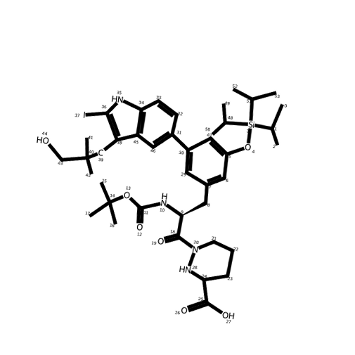 CC(C)[Si](Oc1cc(C[C@H](NC(=O)OC(C)(C)C)C(=O)N2CCCC(C(=O)O)N2)cc(-c2ccc3[nH]c(I)c(CC(C)(C)CO)c3c2)c1)(C(C)C)C(C)C